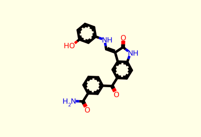 NC(=O)c1cccc(C(=O)c2ccc3c(c2)C(=CNc2cccc(O)c2)C(=O)N3)c1